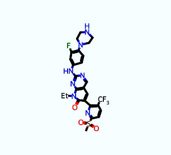 CCn1c(=O)c(-c2nc(S(C)(=O)=O)ccc2C(F)(F)F)cc2cnc(Nc3ccc(N4CCNCC4)c(F)c3)nc21